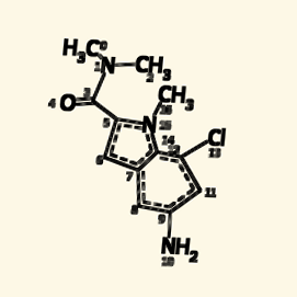 CN(C)C(=O)c1cc2cc(N)cc(Cl)c2n1C